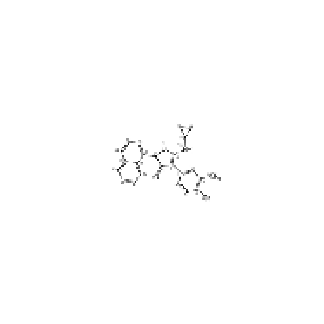 O=C1C(c2ccc(Br)c(C(F)(F)F)c2)=C(NC2CC2)OC1c1cccc2ccccc12